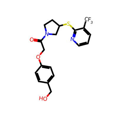 O=C(COc1ccc(CO)cc1)N1CCC(Sc2ncccc2C(F)(F)F)C1